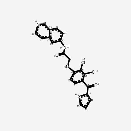 O=C(COc1ccc(C(=O)c2cccs2)c(Cl)c1Cl)Nc1ccc2cnccc2c1